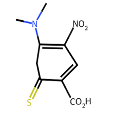 CN(C)C1=C([N+](=O)[O-])C=C(C(=O)O)C(=S)C1